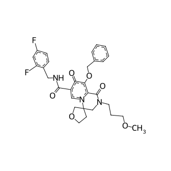 COCCCN1CC2(CCOC2)n2cc(C(=O)NCc3ccc(F)cc3F)c(=O)c(OCc3ccccc3)c2C1=O